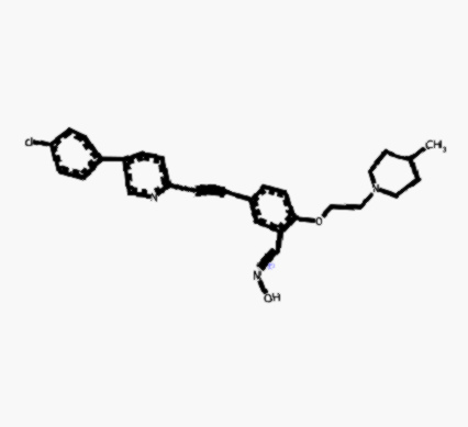 CC1CCN(CCOc2ccc(C#Cc3ccc(-c4ccc(Cl)cc4)cn3)cc2/C=N/O)CC1